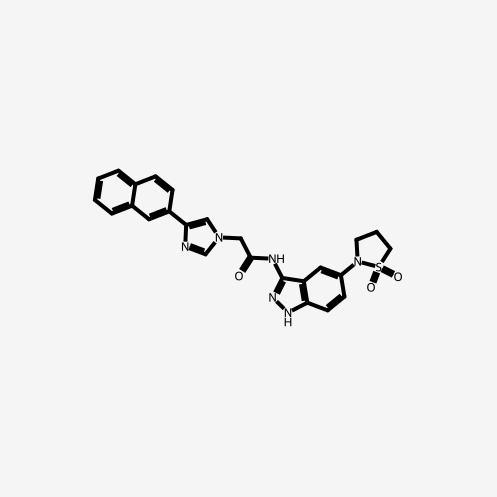 O=C(Cn1cnc(-c2ccc3ccccc3c2)c1)Nc1n[nH]c2ccc(N3CCCS3(=O)=O)cc12